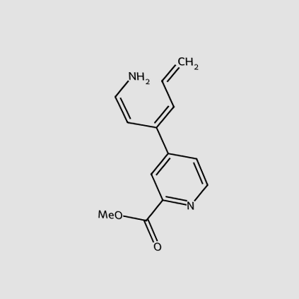 C=C/C=C(\C=C/N)c1ccnc(C(=O)OC)c1